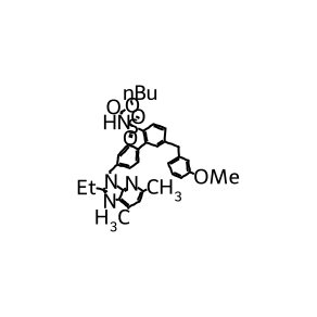 CCCCOC(=O)NS(=O)(=O)c1ccc(Cc2cccc(OC)c2)cc1-c1ccc(Cn2c(CC)nc3c(C)cc(C)nc32)cc1